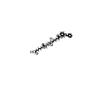 O=C(O)CCCCCNC(=O)CSSCC(=O)NCCCCCC(=O)Nc1cccc(OCc2ccccc2)c1